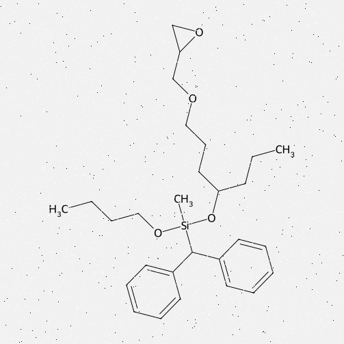 CCCCO[Si](C)(OC(CCC)CCCOCC1CO1)C(c1ccccc1)c1ccccc1